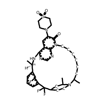 CC1CCCCCCn2c(=O)c(N3CCS(=O)(=O)CC3)cc3c(ncnc32)N[C@H](C)c2cccc(c2F)C(F)(F)C2CCN1C(C)C2